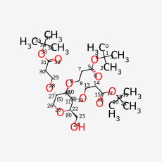 CC(C)(C)OC(=O)CCO[C@H]1[C@H](OCCC(=O)OC(C)(C)C)[C@@H](CO)OC[C@@H]1OCCC(=O)OC(C)(C)C